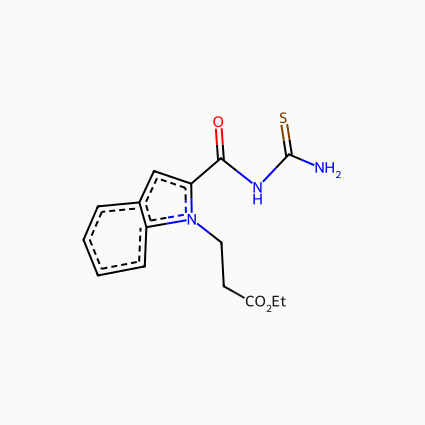 CCOC(=O)CCn1c(C(=O)NC(N)=S)cc2ccccc21